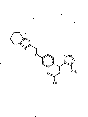 Cn1ccnc1C(CC(=O)O)c1ccc(OCc2nc3c(s2)CCCC3)cc1